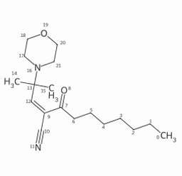 CCCCCCCC(=O)C(C#N)=CC(C)(C)N1CCOCC1